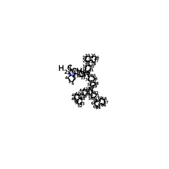 C=C/C=c1/cccc/c1=C(/C)c1ccc2c(c1)c1cc(-c3cccc4ccccc34)ccc1n2-c1ccc2ccc(-n3c4ccc(-c5cccc6ccccc56)cc4c4cc(-c5cccc6ccccc56)ccc43)cc2c1